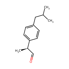 CC(C)Cc1ccc([C@H](C)C=O)cc1